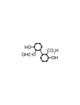 O=COc1c(O)cccc1-c1cccc(O)c1C(=O)O